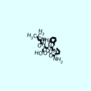 CC(C)C[C@H](N)C(=O)N[C@@H](CC(=O)O)C(=O)N[C@@H](Cc1ccccc1)C(=O)N1CCC[C@@H]1C(N)=O